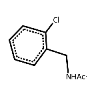 CC(=O)[N]Cc1ccccc1Cl